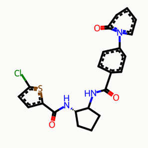 O=C(NC1CCC[C@@H]1NC(=O)c1ccc(Cl)s1)c1ccc(-n2ccccc2=O)cc1